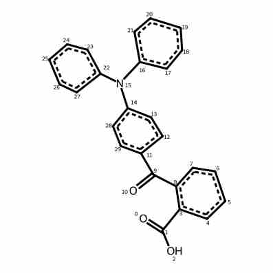 O=C(O)c1ccccc1C(=O)c1ccc(N(c2ccccc2)c2ccccc2)cc1